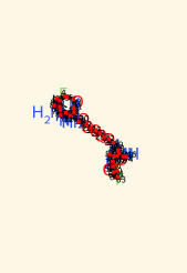 C=C1/C=C(F)\C=C/CC(=O)N(C)Cc2nn(CCNC(=O)CCOCCOCCOCCOCCN3CCC([C@@H](NC(=O)[C@@H](C)NC)C(=O)N4CCC[C@@H]4C4=NC(C(=O)c5ccc(F)cc5)CS4)CC3)c(C#N)c2-c2cnc(N)c(c2)N2CCC[C@H]12